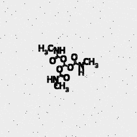 CNC(=O)OC(OC(=O)NC)OC(=O)NC